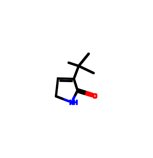 CC(C)(C)C1=CCNC1=O